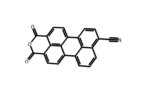 N#Cc1ccc2c3ccc4c5c(ccc(c6cccc1c62)c53)C(=O)OC4=O